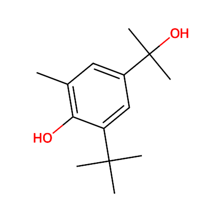 Cc1cc(C(C)(C)O)cc(C(C)(C)C)c1O